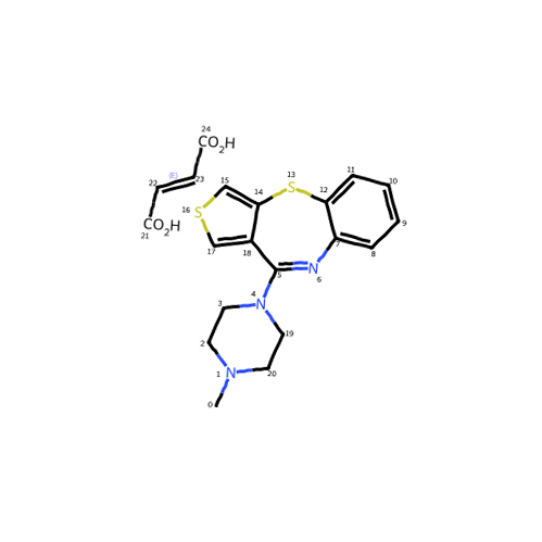 CN1CCN(C2=Nc3ccccc3Sc3cscc32)CC1.O=C(O)/C=C/C(=O)O